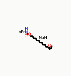 CCCNC(=O)OCCCCCCCCCCCc1ccco1.[NaH]